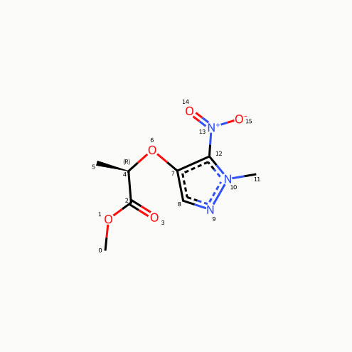 COC(=O)[C@@H](C)Oc1cnn(C)c1[N+](=O)[O-]